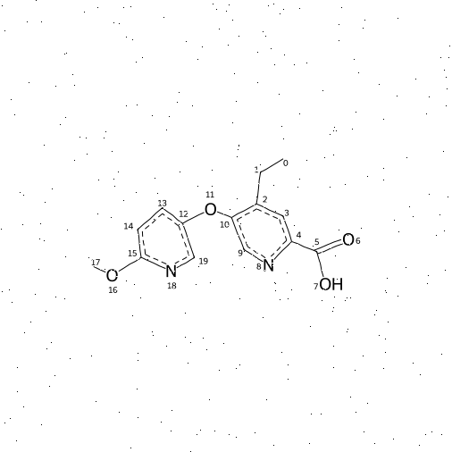 CCc1cc(C(=O)O)ncc1Oc1ccc(OC)nc1